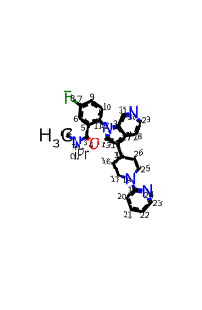 CC(C)N(C)C(=O)c1cc(F)ccc1-n1cc(C2CCN(c3ccccn3)CC2)c2ccncc21